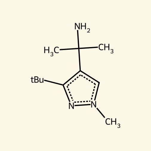 Cn1cc(C(C)(C)N)c(C(C)(C)C)n1